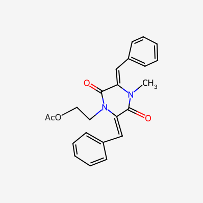 CC(=O)OCCn1c(=O)c(=Cc2ccccc2)n(C)c(=O)c1=Cc1ccccc1